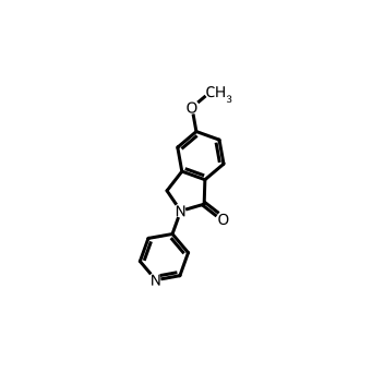 COc1ccc2c(c1)CN(c1ccncc1)C2=O